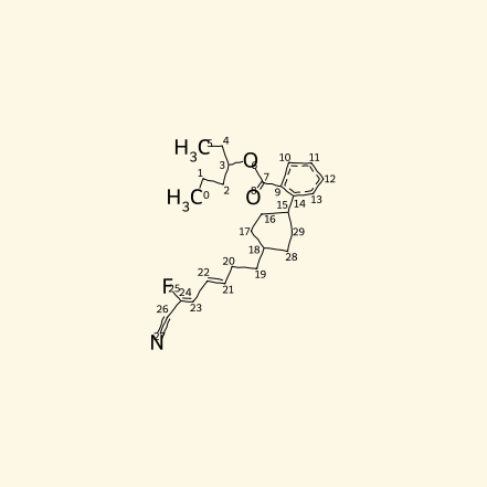 CCCC(CC)OC(=O)c1ccccc1C1CCC(CC/C=C/C=C(F)C#N)CC1